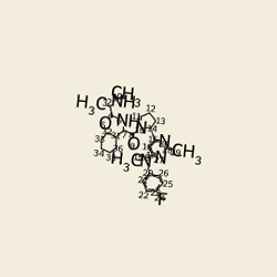 CNC(C)C(=O)NC(C(=O)N1CCC[C@H]1c1cc(N(C)c2ccc(F)cc2)nc(C)n1)C1CCCCC1